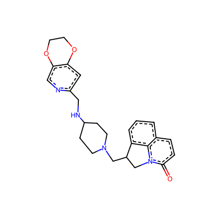 O=c1ccc2cccc3c2n1CC3CN1CCC(NCc2cc3c(cn2)OCCO3)CC1